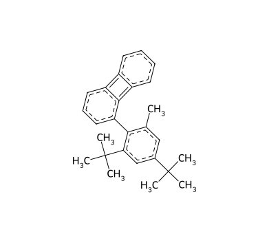 Cc1cc(C(C)(C)C)cc(C(C)(C)C)c1-c1cccc2c1=c1ccccc1=2